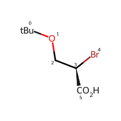 CC(C)(C)OC[C@@H](Br)C(=O)O